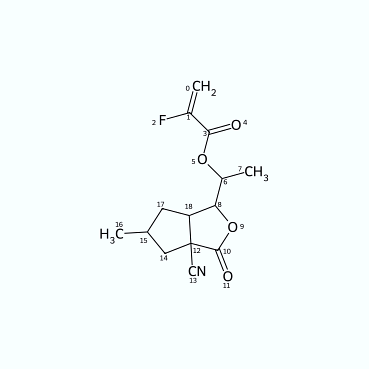 C=C(F)C(=O)OC(C)C1OC(=O)C2(C#N)CC(C)CC12